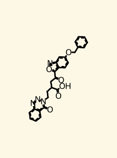 O=C(CC(CCn1nnc2ccccc2c1=O)C(=O)O)c1onc2cc(OCc3ccccc3)ccc12